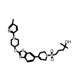 Cc1ccc(N2CCC(Oc3nc4ccc(C5=CCN(S(=O)(=O)CCCC(C)(C)O)CC5)cc4s3)CC2)nc1